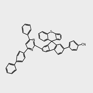 N#Cc1ccc(-c2ccc3c(c2)C2(c4ccccc4Sc4ccccc42)c2cc(-c4nc(-c5ccccc5)cc(-c5ccc(-c6ccccc6)cc5)n4)ccc2-3)cc1